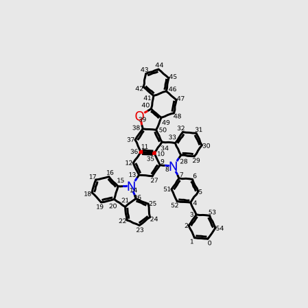 c1ccc(-c2ccc(N(c3cccc(-n4c5ccccc5c5ccccc54)c3)c3ccccc3-c3cccc4oc5c6ccccc6ccc5c34)cc2)cc1